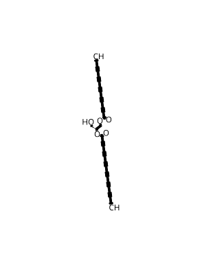 C#CC#CC#CC#CC#CC#CC#CC(=O)O[C@H](CO)COC(=O)C#CC#CC#CC#CC#CC#C